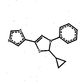 [C]1=C(c2cncs2)SC(C2CC2)N1c1ccccc1